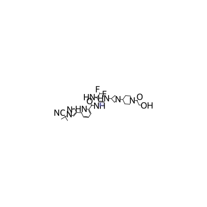 CC(C)(C#N)n1cc(C2C=CC=C(C(=O)N/C(=C/NC3CN(C4CCN(C(=O)CO)CC4)C3)C(=N)C(F)F)N2)cn1